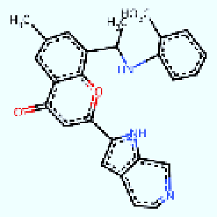 Cc1cc(C(C)Nc2ccccc2C(=O)O)c2oc(-c3cc4ccncc4[nH]3)cc(=O)c2c1